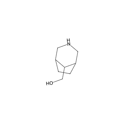 OCC1C2CCC1CNC2